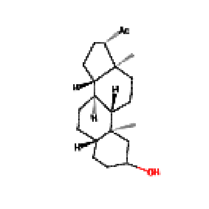 CC(=O)[C@H]1CC[C@H]2[C@@H]3CC[C@H]4CCC(O)C[C@]4(C)[C@H]3CC[C@]12C